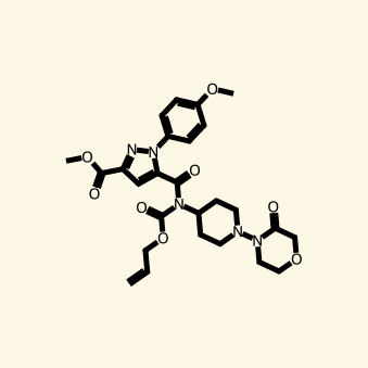 C=CCOC(=O)N(C(=O)c1cc(C(=O)OC)nn1-c1ccc(OC)cc1)C1CCN(N2CCOCC2=O)CC1